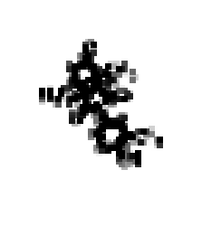 C[C@]12CC(=O)[C@](C)(O1)[C@@H]1C(=O)N(c3cnc(C#N)c(C(F)(F)F)c3)C(=O)[C@@H]12